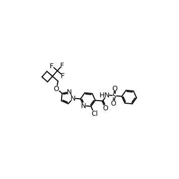 O=C(NS(=O)(=O)c1ccccc1)c1ccc(-n2ccc(OCC3(C(F)(F)F)CCC3)n2)nc1Cl